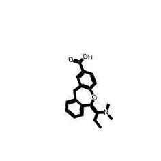 CC/C(=C1/Oc2ccc(C(=O)O)cc2Cc2ccccc21)N(C)C